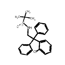 CC(C)(C)[S@@+]([O-])NCC(c1ccccc1)(c1ccccc1)c1ccccc1Cl